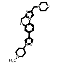 CN1CCC(n2cc(-c3ccc4c(c3)OCc3nc(CN5CCOCC5)cn3-4)cn2)CC1